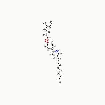 CCCCCCCCCc1ccc(-c2ccc(OCCCCC(C)CC)cc2)nc1